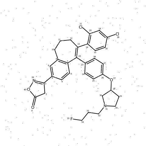 O=C1CC(c2ccc3c(c2)CCCC(c2ccc(Cl)cc2Cl)=C3c2ccc(OC3CCN(CCCF)C3)cc2)=NO1